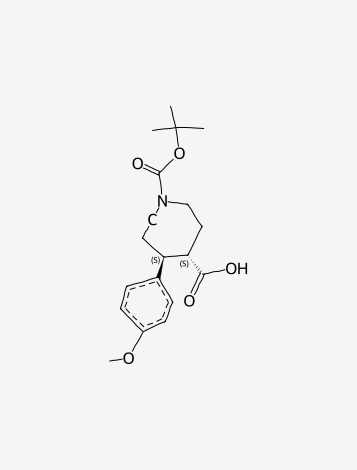 COc1ccc([C@H]2CCN(C(=O)OC(C)(C)C)CC[C@@H]2C(=O)O)cc1